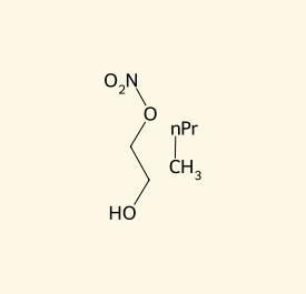 CCCC.O=[N+]([O-])OCCO